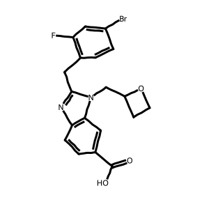 O=C(O)c1ccc2nc(Cc3ccc(Br)cc3F)n(CC3CCO3)c2c1